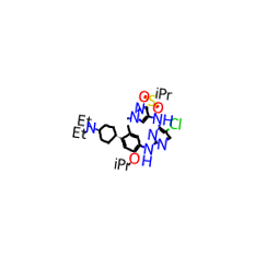 CCN(CC)[C@H]1CC[C@H](c2cc(OC(C)C)c(Nc3ncc(Cl)c(Nc4cn(C)nc4S(=O)(=O)C(C)C)n3)cc2C)CC1